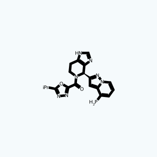 CC(C)c1nnc(C(=O)N2CCc3[nH]cnc3[C@H]2c2cc3c(P)cccn3n2)o1